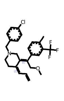 C=C/C=C1/CCN(Cc2ccc(Cl)cc2)C/C1=C(/COC)c1ccc(C)c(C(F)(F)F)c1